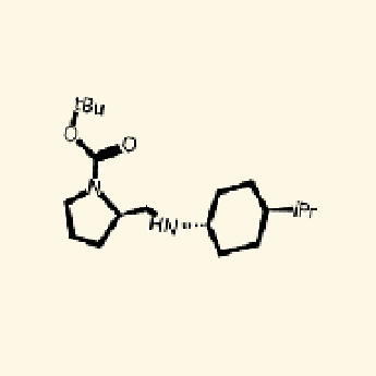 CC(C)[C@H]1CC[C@H](NC[C@H]2CCCN2C(=O)OC(C)(C)C)CC1